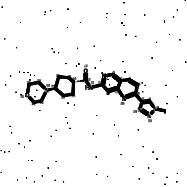 Cn1cc(-c2ccc3cnc(NC(=O)[C@H]4CC[C@H](N5CCOCC5)CC4)cc3n2)nn1